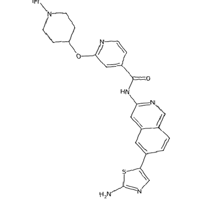 CC(C)N1CCC(Oc2cc(C(=O)Nc3cc4cc(-c5cnc(N)s5)ccc4cn3)ccn2)CC1